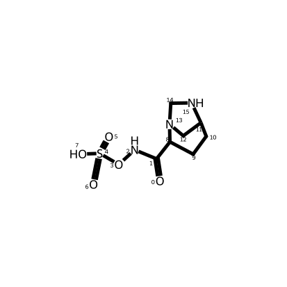 O=C(NOS(=O)(=O)O)C1CCC2CN1CN2